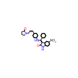 O=C1Nc2ccc([N+](=O)[O-])cc2/C1=C(/Nc1ccc(/C=C\CN2CCCC2=O)cc1)c1ccccc1